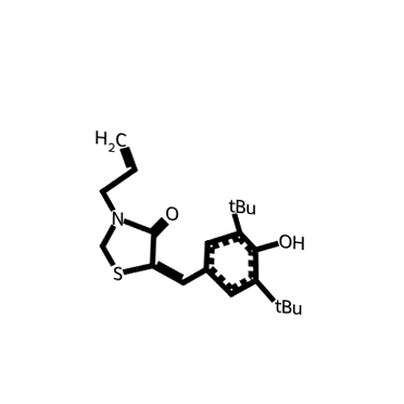 C=CCN1CSC(=Cc2cc(C(C)(C)C)c(O)c(C(C)(C)C)c2)C1=O